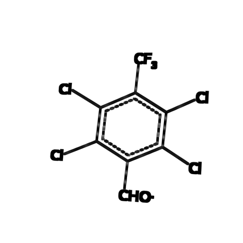 O=[C]c1c(Cl)c(Cl)c(C(F)(F)F)c(Cl)c1Cl